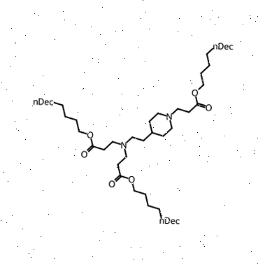 CCCCCCCCCCCCCCOC(=O)CCN(CCC(=O)OCCCCCCCCCCCCCC)CCC1CCN(CCC(=O)OCCCCCCCCCCCCCC)CC1